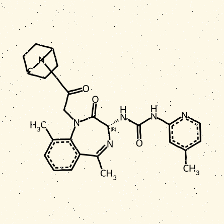 CC1=N[C@@H](NC(=O)Nc2cc(C)ccn2)C(=O)N(CC(=O)N2CC3CCC(CC3)C2)c2c(C)cccc21